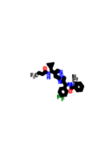 Cc1ccccc1C(=O)N[C@H](c1cn2ncc([C@H](NC(=O)CCC(F)(F)F)C3CC3)cc2n1)C1CCC(F)(F)CC1